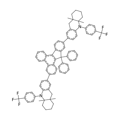 CC12CCCCC1(C)N(c1ccc(C(F)(F)F)cc1)c1ccc(-c3ccc4c(c3)C(c3ccccc3)(c3ccccc3)c3c-4c4ccccc4c4cc(-c5ccc6c(c5)CC5(C)CCCCC5(C)N6c5ccc(C(F)(F)F)cc5)ccc34)cc1C2